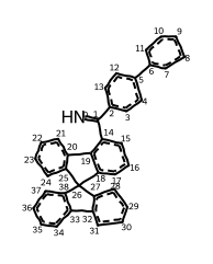 N=C(c1ccc(-c2ccccc2)cc1)c1cccc2c1-c1ccccc1C21c2ccccc2-c2ccccc21